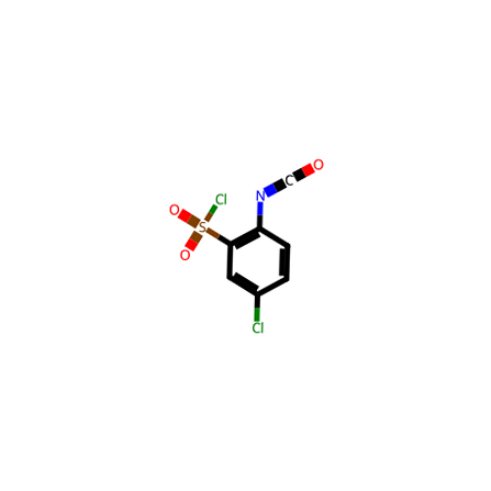 O=C=Nc1ccc(Cl)cc1S(=O)(=O)Cl